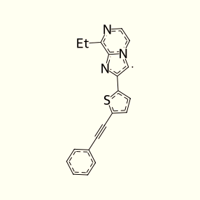 CCc1nccn2[c]c(-c3ccc(C#Cc4ccccc4)s3)nc12